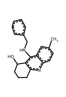 Cc1ccc2nc3c(c(NCc4ccccc4)c2c1)C(O)CCC3